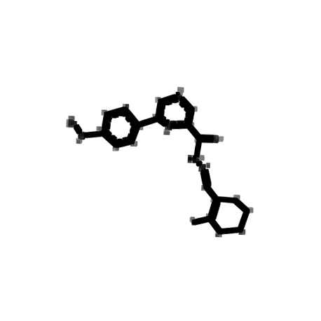 CC1=C(/C=N/NC(=O)c2cncc(-c3ccc(OC(C)C)cc3)n2)CCCC1